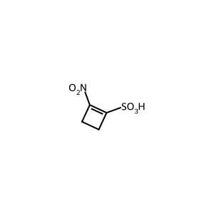 O=[N+]([O-])C1=C(S(=O)(=O)O)CC1